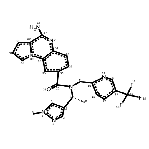 C[C@H](c1cnn(C)c1)N(Cc1ccc(C(F)(F)F)cn1)C(=O)c1ccc2nc(N)c3cccn3c2c1